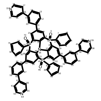 O=P1(c2ccccc2)c2cc(-c3cccc(-c4ccncc4)c3)cc3c2N2c4c1cc(-c1cccc(-c5ccncc5)c1)cc4P(=O)(c1ccccc1)c1cc(-c4cccc(-c5ccncc5)c4)cc(c12)P3(=O)c1ccccc1